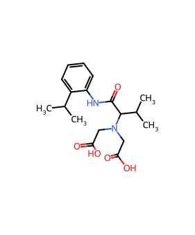 CC(C)c1ccccc1NC(=O)C(C(C)C)N(CC(=O)O)CC(=O)O